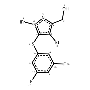 CCc1c(CO)nn(C(C)C)c1Sc1cc(F)cc(F)c1